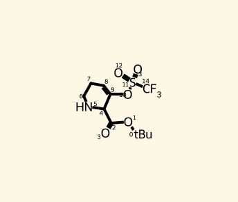 CC(C)(C)OC(=O)C1NCCC=C1OS(=O)(=O)C(F)(F)F